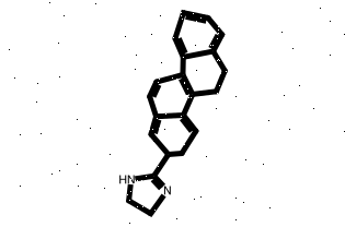 C1=c2ccc3c(c2=CCC1C1=NCCN1)CCc1ccccc1-3